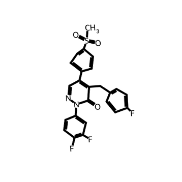 CS(=O)(=O)c1ccc(-c2cnn(-c3ccc(F)c(F)c3)c(=O)c2Cc2ccc(F)cc2)cc1